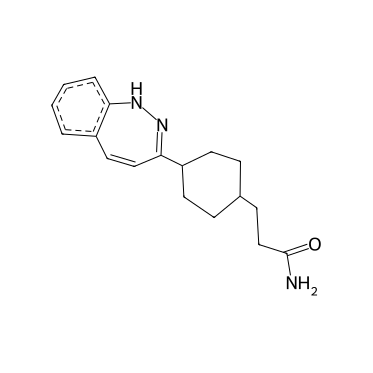 NC(=O)CCC1CCC(C2=NNc3ccccc3C=C2)CC1